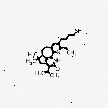 C=C(C)c1c2c3c([nH]c1=O)-c1nc(CC)c(CCCCS)cc1CCC3C(C)(C)C2